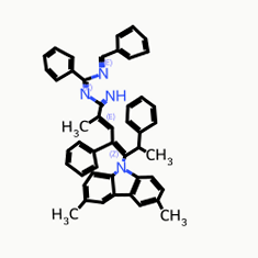 C/C(=C\C(=C(/C(C)c1ccccc1)n1c2ccc(C)cc2c2cc(C)ccc21)c1ccccc1)C(=N)/N=C(\N=C\c1ccccc1)c1ccccc1